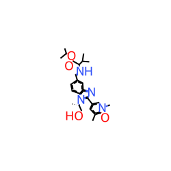 Cc1cc(-c2nc3cc(CNC(C(=O)OC(C)C)C(C)C)ccc3n2[C@@H](C)CO)cn(C)c1=O